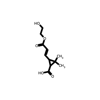 CC1(C)C(C=CC(=O)OCCO)C1C(=O)O